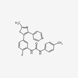 Cc1ccc(NC(=O)Nc2cc(-c3sc(C)nc3-c3ccncc3)ccc2F)cc1